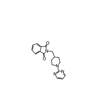 O=C1c2ccccc2C(=O)N1CC1CCN(c2ncccn2)CC1